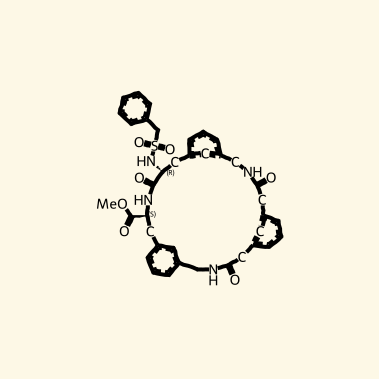 COC(=O)[C@@H]1Cc2cccc(c2)CNC(=O)Cc2cccc(c2)CC(=O)NCc2cccc(c2)C[C@@H](NS(=O)(=O)Cc2ccccc2)C(=O)N1